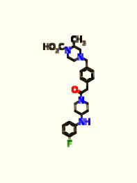 C[C@H]1CN(Cc2ccc(CC(=O)N3CCC(Nc4cccc(F)c4)CC3)cc2)CCN1C(=O)O